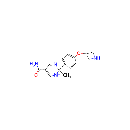 CC1(c2ccc(OC3CNC3)cc2)N=CC(C(N)=O)=CN1